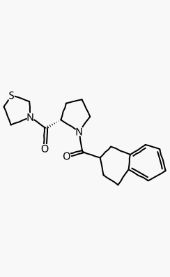 O=C([C@@H]1CCCN1C(=O)C1CCc2ccccc2C1)N1CCSC1